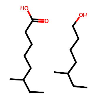 CCC(C)CCCCC(=O)O.CCC(C)CCCCO